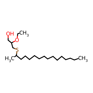 CCCCCCCCCCCCCCC(C)SCC(CO)OCC